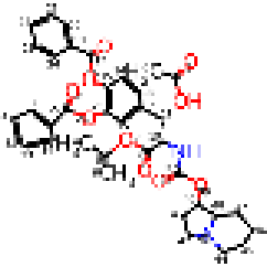 CC(=O)O.CC(C)OC(=O)[C@H](Cc1ccc(OC(=O)c2ccccc2)c(OC(=O)c2ccccc2)c1)NC(=O)OC1CCN2CCCCC12